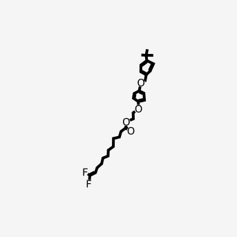 CC(C)(C)c1ccc(COc2ccc(OCCOC(=O)CCCCCCCCCC=C(F)F)cc2)cc1